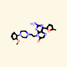 COc1ccccc1N1CCN(CCn2c(=O)cnc3c(-c4ccc(C)o4)nc(N)nc32)CC1